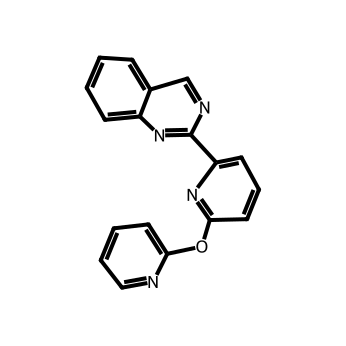 c1ccc(Oc2cccc(-c3ncc4ccccc4n3)n2)nc1